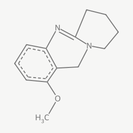 COc1cccc2c1CN1CCCCC1=N2